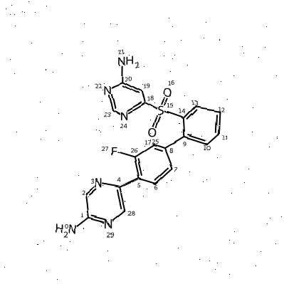 Nc1cnc(-c2ccc(-c3ccccc3S(=O)(=O)c3cc(N)ncn3)cc2F)cn1